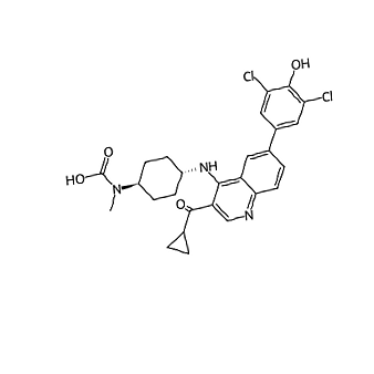 CN(C(=O)O)[C@H]1CC[C@H](Nc2c(C(=O)C3CC3)cnc3ccc(-c4cc(Cl)c(O)c(Cl)c4)cc23)CC1